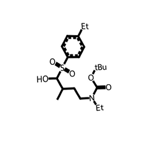 CCc1ccc(S(=O)(=O)C(O)C(C)CCN(CC)C(=O)OC(C)(C)C)cc1